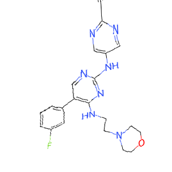 N#Cc1ncc(Nc2ncc(-c3cccc(F)c3)c(NCCN3CCOCC3)n2)cn1